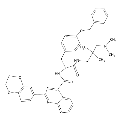 CN(C)CC(C)(C)CNC(=O)C(Cc1ccc(OCc2ccccc2)cc1)NC(=O)c1cc(-c2ccc3c(c2)OCCO3)nc2ccccc12